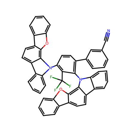 N#Cc1cccc(-c2ccc(-n3c4ccccc4c4ccc5c6ccccc6oc5c43)c(C(F)(F)F)c2-n2c3ccccc3c3ccc4c5ccccc5oc4c32)c1